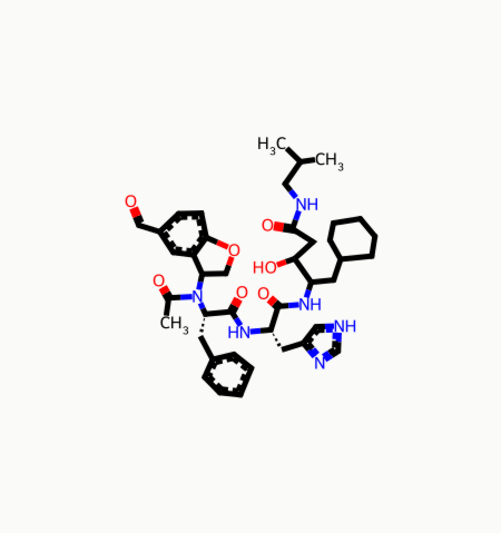 CC(=O)N(C1COc2ccc(C=O)cc21)[C@@H](Cc1ccccc1)C(=O)N[C@@H](Cc1c[nH]cn1)C(=O)NC(CC1CCCCC1)C(O)CC(=O)NCC(C)C